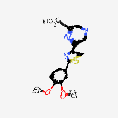 CCOc1ccc(-c2nc(-c3cncc(C(=O)O)n3)cs2)cc1OCC